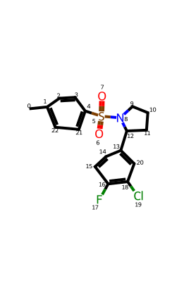 Cc1ccc(S(=O)(=O)N2CCCC2c2ccc(F)c(Cl)c2)cc1